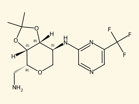 CC1(C)O[C@@H]2[C@H](O1)[C@@H](Nc1cncc(C(F)(F)F)n1)CO[C@@H]2CN